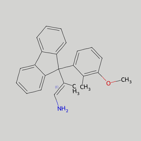 COc1cccc(C2(/C(C)=C/N)c3ccccc3-c3ccccc32)c1C